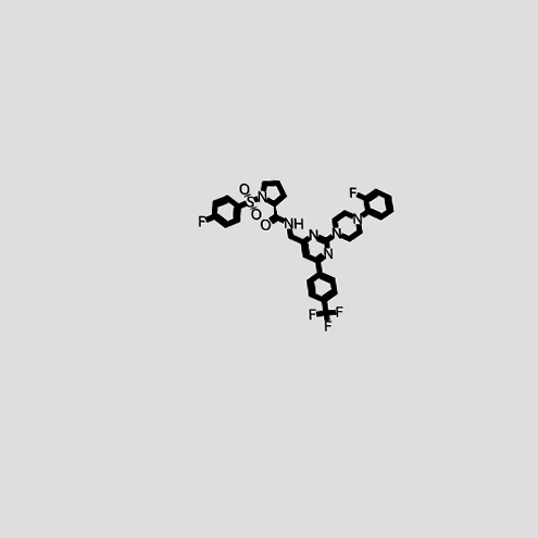 O=C(NCc1cc(-c2ccc(C(F)(F)F)cc2)nc(N2CCN(c3ccccc3F)CC2)n1)[C@@H]1CCCN1S(=O)(=O)c1ccc(F)cc1